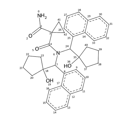 NC(=O)C1(C(=O)N(C(c2cccc3ccccc23)C2(O)CCCC2)C(c2cccc3ccccc23)C2(O)CCCC2)CC1